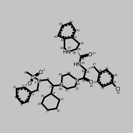 CS(=O)(=O)N(Cc1ccccc1)CC(C1CCCCC1)N1CCN(C(=O)[C@@H](Cc2ccc(Cl)cc2)NC(=O)[C@H]2Cc3ccccc3CN2)CC1